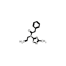 C=CCN(C(=O)Cc1ccccc1)c1nc(C)ns1